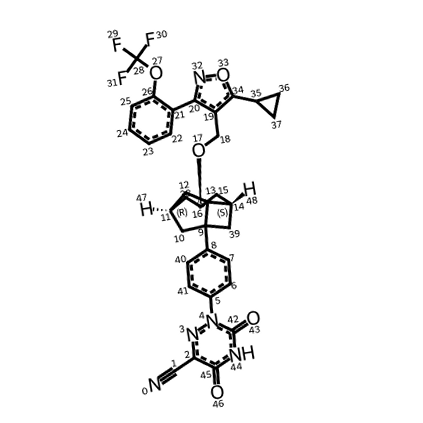 N#Cc1nn(-c2ccc(C34C[C@H]5CC3[C@H](C[C@@H](OCc3c(-c6ccccc6OC(F)(F)F)noc3C3CC3)C5)C4)cc2)c(=O)[nH]c1=O